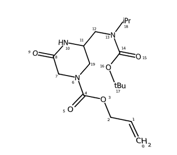 C=CCOC(=O)N1CC(=O)NC(CN(C(=O)OC(C)(C)C)C(C)C)C1